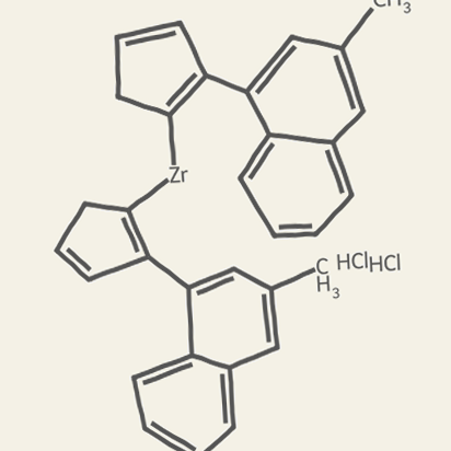 Cc1cc(C2=[C]([Zr][C]3=C(c4cc(C)cc5ccccc45)C=CC3)CC=C2)c2ccccc2c1.Cl.Cl